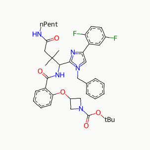 CCCCCNC(=O)CC(C)(C)C(NC(=O)c1ccccc1OC1CN(C(=O)OC(C)(C)C)C1)c1nc(-c2cc(F)ccc2F)cn1Cc1ccccc1